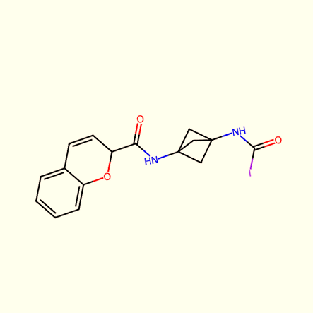 O=C(I)NC12CC(NC(=O)C3C=Cc4ccccc4O3)(C1)C2